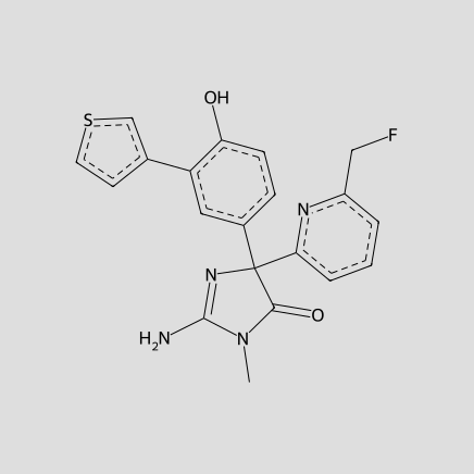 CN1C(=O)C(c2ccc(O)c(-c3ccsc3)c2)(c2cccc(CF)n2)N=C1N